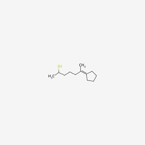 CC(CCCC(C)S)=C1CCCC1